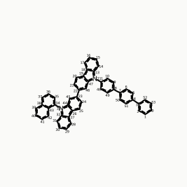 c1ccc(-c2ccc(-c3ccc(-n4c5ccccc5c5ccc(-c6ccc7c8ccccc8n(-c8cccc9ccccc89)c7c6)cc54)cc3)cc2)cc1